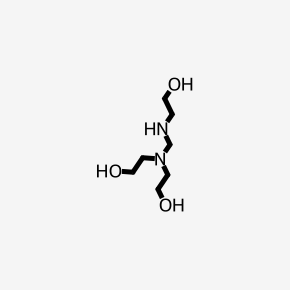 OCCNCN(CCO)CCO